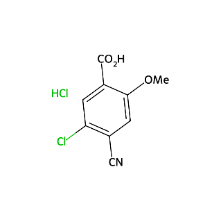 COc1cc(C#N)c(Cl)cc1C(=O)O.Cl